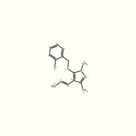 Cc1nn(C)c(SCc2ccccc2Cl)c1C=NO